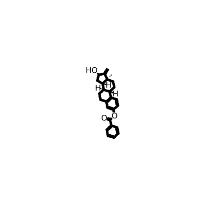 C=C1[C@H](O)C[C@H]2[C@@H]3CCc4cc(OC(=O)c5ccccc5)ccc4[C@H]3CC[C@]12C